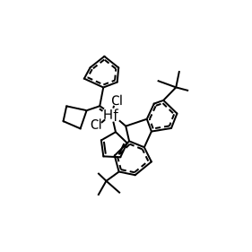 CC(C)(C)c1ccc2c(c1)[CH]([Hf]([Cl])([Cl])(=[C](c1ccccc1)C1CCC1)[CH]1C=CC=C1)c1cc(C(C)(C)C)ccc1-2